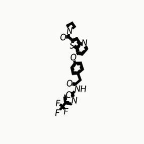 O=C(Cc1ccc(Oc2ccnc3cc(C(=O)N4CCC4)sc23)cc1)Nc1ccc(C(F)(F)F)cn1